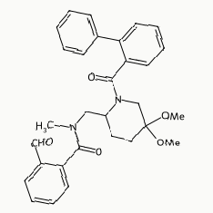 COC1(OC)CCC(CN(C)C(=O)c2ccccc2C=O)N(C(=O)c2ccccc2-c2ccccc2)C1